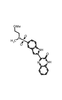 COCCN(C)S(=O)(=O)c1ccc2[nH]c(-c3nc4ccccc4[nH]c3=O)cc2c1